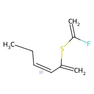 C=C(F)SC(=C)/C=C\CC